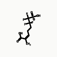 CC(=CCCC(F)(F)C(F)(F)S(=O)(=O)O)C(=O)O